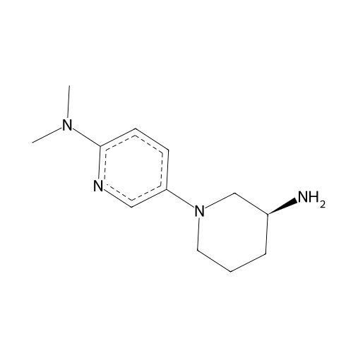 CN(C)c1ccc(N2CCC[C@H](N)C2)cn1